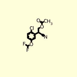 CC(=O)OCC(C#N)c1cc(OC(F)F)ccc1Cl